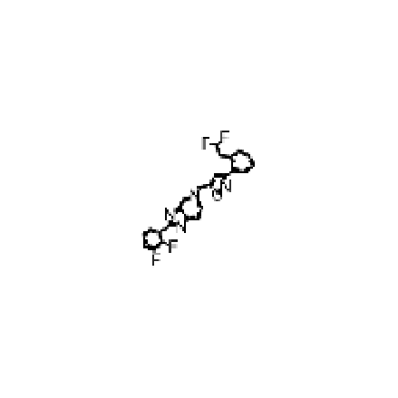 Fc1cccc(-c2nc3ccn(Cc4cc(-c5ccccc5CC(F)F)no4)cc-3n2)c1F